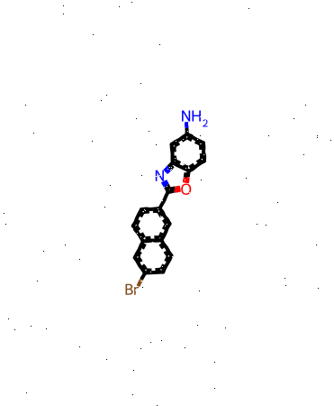 Nc1ccc2oc(-c3ccc4cc(Br)ccc4c3)nc2c1